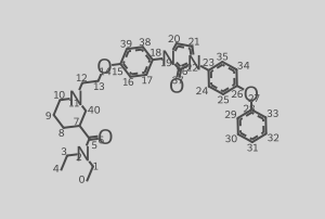 CCN(CC)C(=O)C1CCCN(CCOc2ccc(-n3ccn(-c4ccc(Oc5ccccc5)cc4)c3=O)cc2)C1